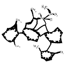 CC1=Cc2c(-c3c(C)cccc3C)cccc2[CH]1[Zr]([Cl])([Cl])([CH]1C(C)=Cc2c(-c3c(C)cccc3C)cccc21)[SiH](C)C